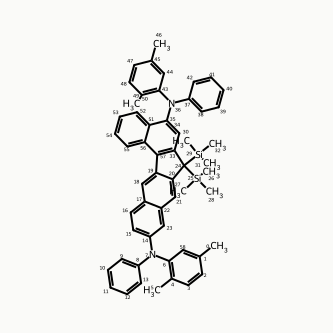 Cc1ccc(C)c(N(c2ccccc2)c2ccc3cc4c(cc3c2)C([Si](C)(C)C)([Si](C)(C)C)c2cc(N(c3ccccc3)c3cc(C)ccc3C)c3ccccc3c2-4)c1